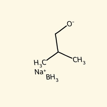 B.CC(C)C[O-].[Na+]